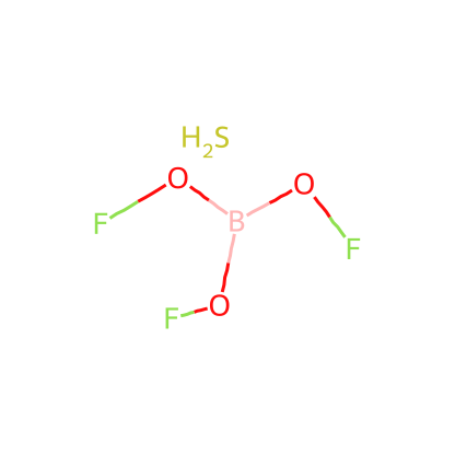 FOB(OF)OF.S